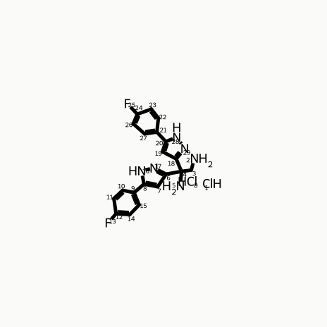 Cl.Cl.NCC(N)(c1cc(-c2ccc(F)cc2)[nH]n1)c1cc(-c2ccc(F)cc2)[nH]n1